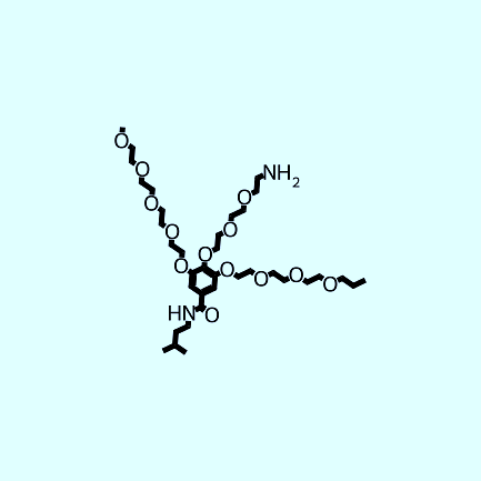 CCCOCCOCCOCCOc1cc(C(=O)NCCC(C)C)cc(OCCOCCOCCOCCOC)c1OCCOCCOCCN